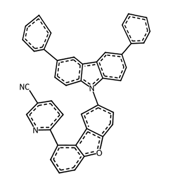 N#Cc1ccc(-c2cccc3oc4ccc(-n5c6ccc(-c7ccccc7)cc6c6cc(-c7ccccc7)ccc65)cc4c23)nc1